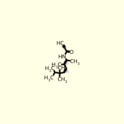 C#CC(=O)N/C(C)=C(C)/C=C\C(C)(C)C(C)C